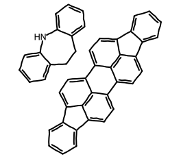 c1ccc2c(c1)-c1ccc3c4ccc5c6c(ccc(c7ccc-2c1c37)c64)-c1ccccc1-5.c1ccc2c(c1)CCc1ccccc1N2